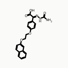 NC(=O)N/N=C(/C(=O)O)c1ccc(OCCOc2ccc3ccccc3c2)cc1